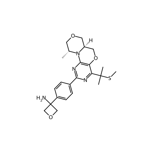 CSC(C)(C)c1nc(-c2ccc(C3(N)COC3)cc2)nc2c1OC[C@@H]1COC[C@@H](C)N21